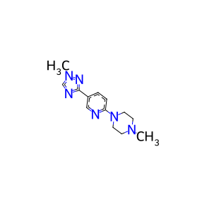 CN1CCN(c2ccc(-c3ncn(C)n3)cn2)CC1